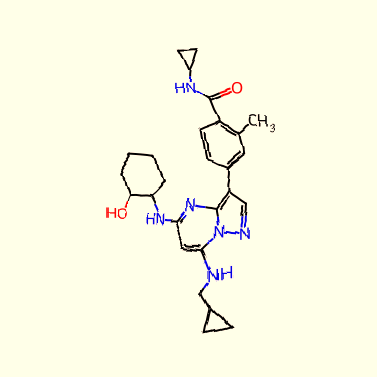 Cc1cc(-c2cnn3c(NCC4CC4)cc(NC4CCCCC4O)nc23)ccc1C(=O)NC1CC1